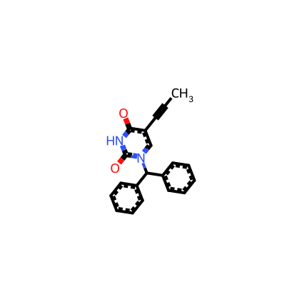 CC#Cc1cn(C(c2ccccc2)c2ccccc2)c(=O)[nH]c1=O